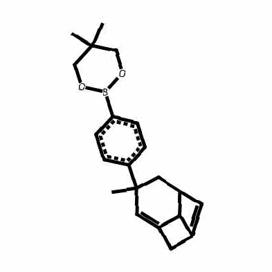 CC1(C)COB(c2ccc(C3(C)C=C4CC5=CC(C3)C54)cc2)OC1